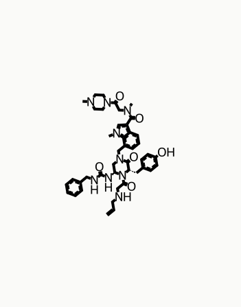 C=CCNCC(=O)N1[C@@H](NC(=O)NCc2ccccc2)CN(Cc2cccc3c(C(=O)N(C)CC(=O)N4CCN(C)CC4)cn(C)c23)C(=O)[C@@H]1Cc1ccc(O)cc1